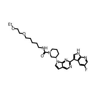 CCOCCOCCCCCNC(=O)N1CCC[C@H](n2ccc3cnc(-c4c[nH]c5ncc(F)cc45)nc32)C1